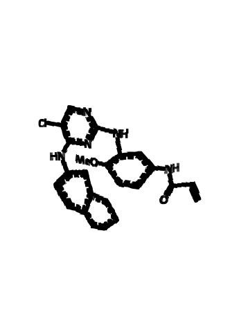 C=CC(=O)Nc1ccc(OC)c(Nc2ncc(Cl)c(Nc3ccc4ccccc4c3)n2)c1